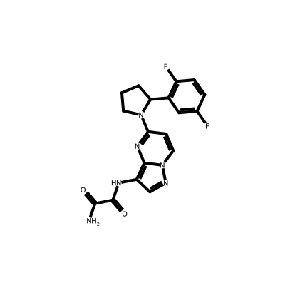 NC(=O)C(=O)Nc1cnn2ccc(N3CCCC3c3cc(F)ccc3F)nc12